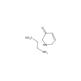 NCCC(=O)O.O=C1C=CCNC1